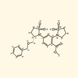 COC(=O)c1ccc(N2[C@H](COCc3ccccc3)CCS2(=O)=O)cc1N1CCCS1(=O)=O